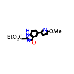 CCOC(=O)Cc1nc(=O)c2cc(-c3ccc(OC)nc3)ccc2[nH]1